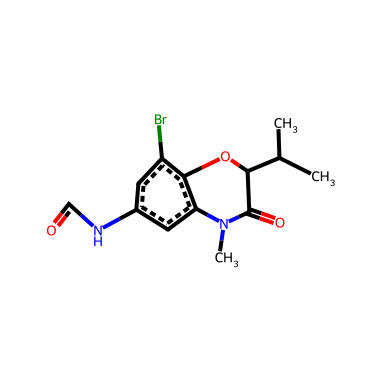 CC(C)C1Oc2c(Br)cc(NC=O)cc2N(C)C1=O